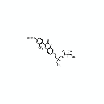 CCCCCc1ccc(-c2cc3ccc(SCC(C)(COC(=O)C(C)(CC(C)(C)C)C(C)(C)C)CC(F)(F)F)cc3oc2=O)c(C(F)(F)F)c1